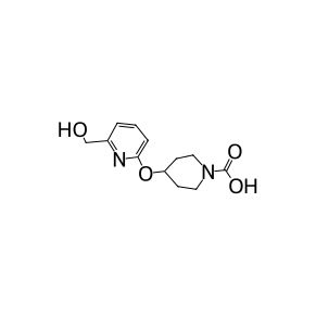 O=C(O)N1CCC(Oc2cccc(CO)n2)CC1